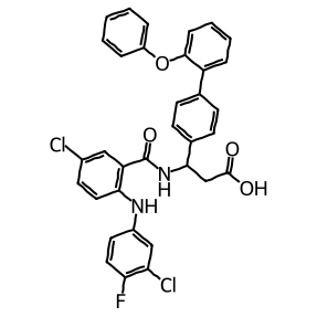 O=C(O)CC(NC(=O)c1cc(Cl)ccc1Nc1ccc(F)c(Cl)c1)c1ccc(-c2ccccc2Oc2ccccc2)cc1